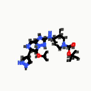 CC(C)Oc1c(-c2cn[nH]c2)ncc2nc(N[C@H]3CCN(C(=O)OC(C)(C)C)C[C@H]3C)nn12